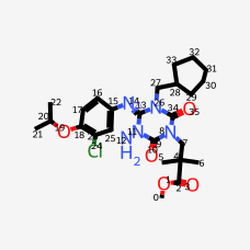 COC(=O)C(C)(C)Cn1c(=O)n(N)/c(=N\c2ccc(OC(C)C)c(Cl)c2)n(CC2CCCCC2)c1=O